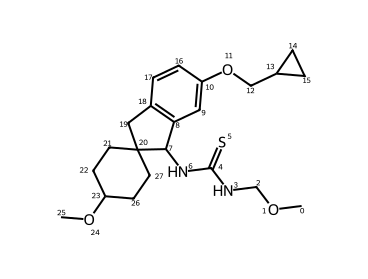 COCNC(=S)NC1c2cc(OCC3CC3)ccc2CC12CCC(OC)CC2